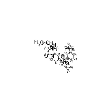 CN[C@@H](CC(C)C)C(=O)N1CCC(N(CC2CC2)S(=O)(=O)c2cccc(C(F)(F)F)c2)CC1